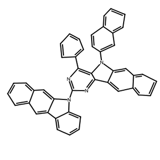 c1ccc(-c2nc(-n3c4ccccc4c4cc5ccccc5cc43)nc3c4cc5ccccc5cc4n(-c4ccc5ccccc5c4)c23)cc1